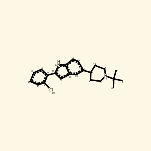 CC(C)(C)N1CCC(c2ccc3[nH]c(-c4ccccc4Cl)cc3c2)CC1